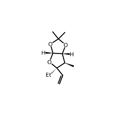 C=C[C@@]1(CC)O[C@@H]2OC(C)(C)O[C@@H]2[C@H]1C